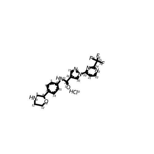 Cl.O=C(Nc1ccc(C2CNCCO2)cc1)c1cnn(-c2ccnc(C(F)(F)F)n2)c1